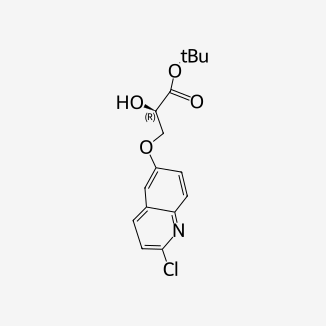 CC(C)(C)OC(=O)[C@H](O)COc1ccc2nc(Cl)ccc2c1